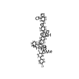 COC(=O)[C@H](Cc1ccc(-c2ccc(C)cc2)cc1)NC(=O)C1Cc2cc3c(cc2CN1Cc1ccccn1)OC(c1ccc(OCc2ccc(Cl)c(Cl)c2)cc1)C(=O)N3